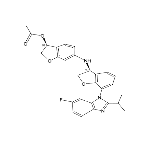 CC(=O)O[C@@H]1COc2cc(N[C@@H]3COc4c3cccc4-n3c(C(C)C)nc4ccc(F)cc43)ccc21